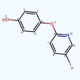 Oc1ccc(Oc2ccc(I)cn2)cc1